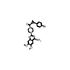 COc1cc2nc(N3CCN(C(=O)C4CC4c4ccc(Br)cc4)CC3)nc(N)c2cc1OC